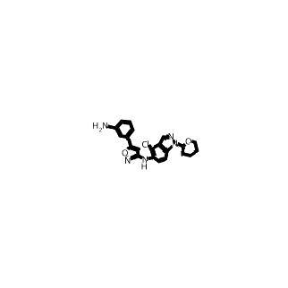 Nc1cccc(-c2cc(Nc3ccc4c(cnn4C4CCCCO4)c3Cl)no2)c1